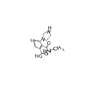 CNC(=O)c1c(C(=O)O)cccc1N1CCNCC1.[La]